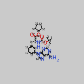 CC(C)(C)OC(=O)N[C@@H](Cc1cccc(-n2cnc3c(N)ncnc32)c1)C(=O)OC1CCCC1